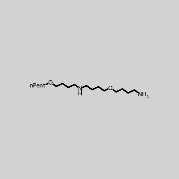 CCCCCOCCCCNCCCCOCCCCN